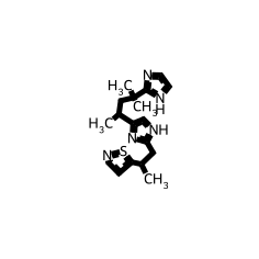 CC(CC(C)(C)c1ncc[nH]1)c1c[nH]c(CC(C)c2ccns2)n1